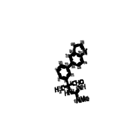 CNC(=N)NC(C)(C=O)c1cccc(-c2ccc3c(c2)CC=N3)c1